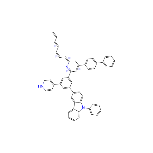 C=C/C=C/C=C\C=C/N=C(\C=C(/C)c1ccc(-c2ccccc2)cc1)c1cc(C2=CCNC=C2)cc(-c2ccc3c(c2)c2ccccc2n3-c2ccccc2)c1